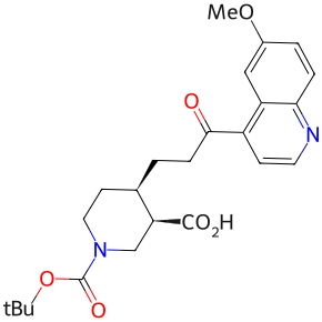 COc1ccc2nccc(C(=O)CC[C@@H]3CCN(C(=O)OC(C)(C)C)C[C@@H]3C(=O)O)c2c1